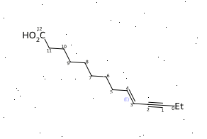 CCC#C/C=C/CCCCCCCC(=O)O